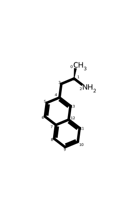 C[C@@H](N)Cc1ccc2ccccc2c1